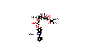 CCCCCn1c(-c2ccccc2)cc2ccc(OCC(O)COC(C)(C)CC(C)(C)OCC(O)COC(=O)C(CC(C)(C)C)C(C)(C)C)cc21